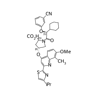 COc1ccc2c(O[C@@H]3C[C@@H](C(=O)O)N(C(=O)[C@@H](Oc4cccc(C#N)c4)C4CCCCC4)C3)cc(-c3nc(C(C)C)cs3)nc2c1C